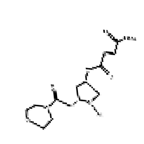 COC(=O)/C=C/C(=O)O[C@@H]1C[C@@H](CC(=O)N2CCOCC2)N(C(C)=O)C1